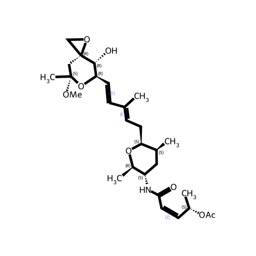 CO[C@]1(C)C[C@@]2(CO2)[C@H](O)[C@@H](/C=C/C(C)=C/C[C@@H]2O[C@H](C)[C@@H](NC(=O)/C=C\[C@H](C)OC(C)=O)C[C@@H]2C)O1